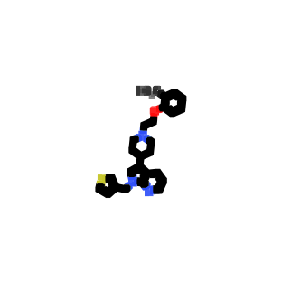 O=C(O)c1ccccc1OCCN1CCC(c2cn(Cc3ccsc3)c3ncccc23)CC1